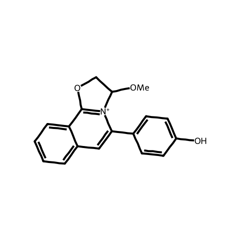 COC1COc2c3ccccc3cc(-c3ccc(O)cc3)[n+]21